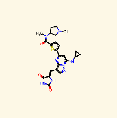 CN1CCC(N(C)C(=O)c2ccc(-c3cc(NC4CC4)n4ncc(/C=C5\NC(=O)NC5=O)c4n3)s2)C1